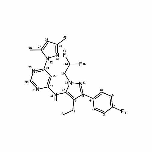 CCc1c(-c2ccc(F)cc2)nn(CC(F)F)c1Nc1cc(-n2nc(C)cc2C)ncn1